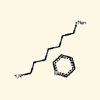 CCCCCCCCCCCCCCCCN.c1ccncc1